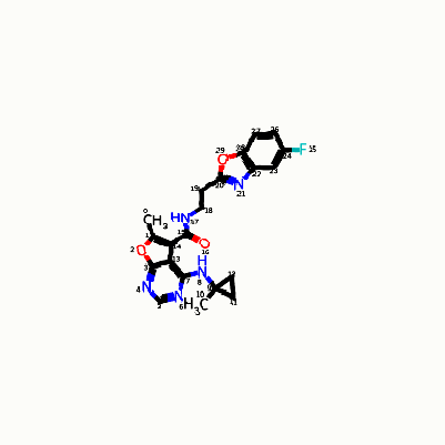 Cc1oc2ncnc(NC3(C)CC3)c2c1C(=O)NCCc1nc2cc(F)ccc2o1